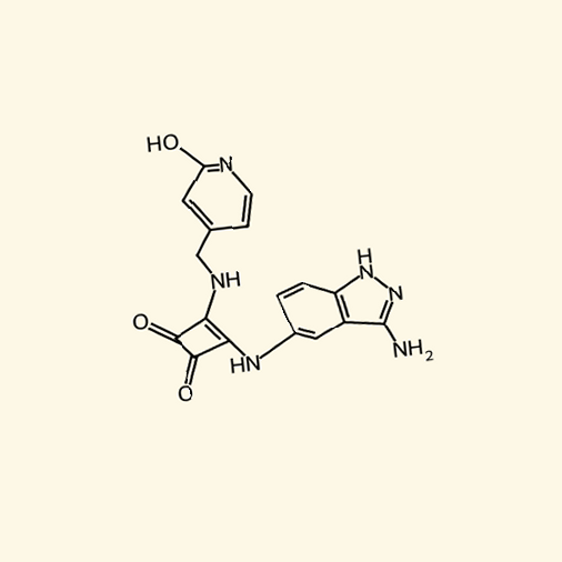 Nc1n[nH]c2ccc(Nc3c(NCc4ccnc(O)c4)c(=O)c3=O)cc12